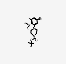 CC(C)(C)OC(=O)N1CCN(c2cc(Br)cc(F)c2[N+](=O)[O-])CC1